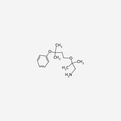 CC(C)(CN)OCCC(C)(C)Oc1ccccc1